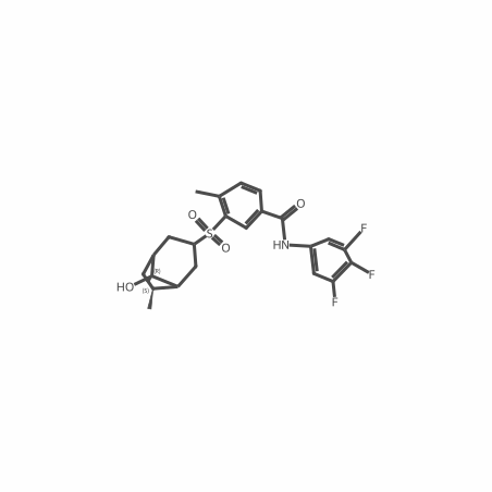 Cc1ccc(C(=O)Nc2cc(F)c(F)c(F)c2)cc1S(=O)(=O)C1CC2C[C@H](C)C(C1)[C@]2(C)O